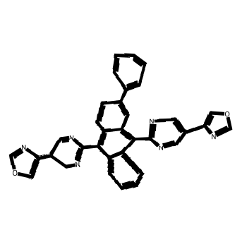 C1=NC(c2c3ccccc3c(-c3ncc(-c4cocn4)cn3)c3cc(-c4ccccc4)ccc23)=NCC1c1cocn1